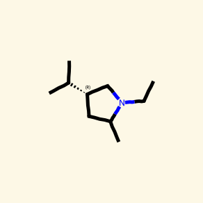 CCN1C[C@@H](C(C)C)CC1C